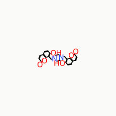 O=c1ccc2ccc(O)c(CN3CCN(Cc4c(O)ccc5ccc(=O)oc45)CC3)c2o1